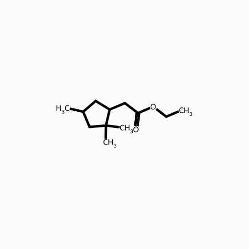 CCOC(=O)CC1CC(C)CC1(C)C